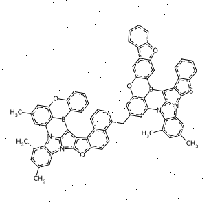 Cc1cc2c3c(c1)-n1c4c(C)cc(C)cc4n4c5oc6ccc7c(Cc8cc9c%10c(c8)-n8c%11c(C)cc(C)cc%11n%11c%12sc%13ccccc%13c%12c(c8%11)B%10c8cc%10oc%11ccccc%11c%10cc8O9)cccc7c6c5c(c14)B3c1ccccc1O2